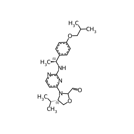 CC(C)COc1ccc([C@H](C)Nc2nccc(N3C(C=O)OC[C@@H]3C(C)C)n2)cc1